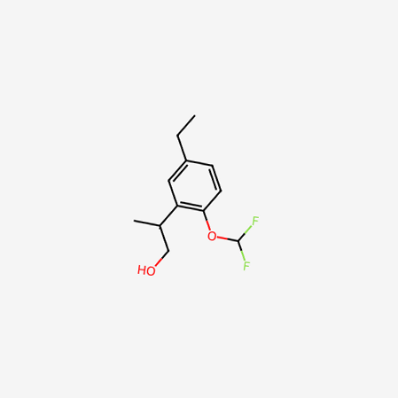 CCc1ccc(OC(F)F)c([C](C)CO)c1